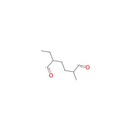 CCC([C]=O)CCC(C)[C]=O